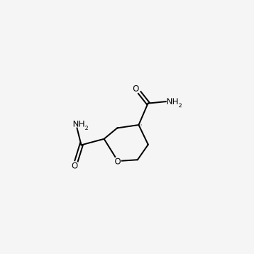 NC(=O)[C]1CCOC(C(N)=O)C1